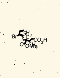 COC(=O)C(C)(Sc1sccc1Br)C(C)CC(=O)O